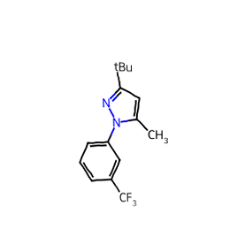 Cc1cc(C(C)(C)C)nn1-c1cccc(C(F)(F)F)c1